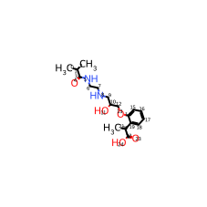 CC(C)C(=O)NCCNCC(O)COc1ccccc1C(C)C(=O)O